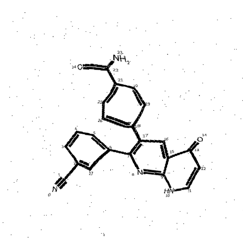 N#Cc1cccc(-c2nc3[nH]ccc(=O)c3cc2-c2ccc(C(N)=O)cc2)c1